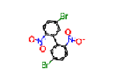 O=[N+]([O-])c1ccc(Br)cc1-c1cc(Br)ccc1[N+](=O)[O-]